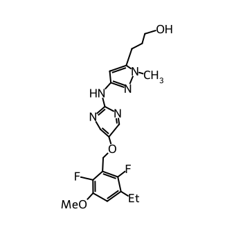 CCc1cc(OC)c(F)c(COc2cnc(Nc3cc(CCCO)n(C)n3)nc2)c1F